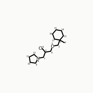 CC1(COCC(Cl)CN2CCCC2)CCCCC1